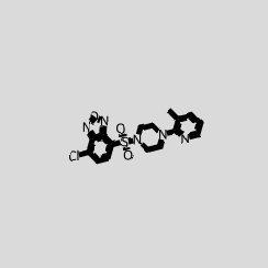 Cc1cccnc1N1CCN(S(=O)(=O)c2ccc(Cl)c3nonc23)CC1